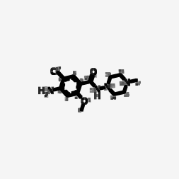 COc1cc(N)c(Cl)cc1C(=O)NN1CCN(C)CC1